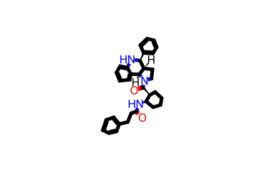 O=C(CCc1ccccc1)N[C@@H]1CCCC[C@@H]1C(=O)N1CC[C@@H]2[C@H](c3ccccc3)Nc3ccccc3[C@@H]21